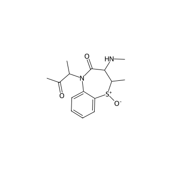 CNC1C(=O)N(C(C)C(C)=O)c2ccccc2[S+]([O-])C1C